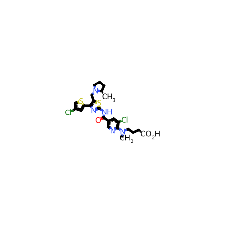 C[C@@H]1CCCN1Cc1sc(NC(=O)c2cnc(N(C)CCCC(=O)O)c(Cl)c2)nc1-c1cc(Cl)cs1